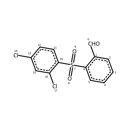 O=Cc1ccccc1S(=O)(=O)c1ccc(Cl)cc1Cl